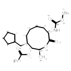 CC(C)C(=O)O[C@@H]1[C@@H](CC2CCCC2)CCCC[C@H](NC(=O)OC(C)(C)C)C(=O)O[C@H]1C